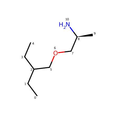 CCC(CC)COC[C@H](C)N